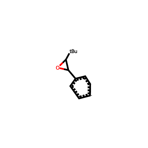 CC(C)(C)C1OC1c1cc[c]cc1